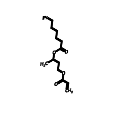 C=CC(=O)OCCC(C)OC(=O)CCCCCC(C)C